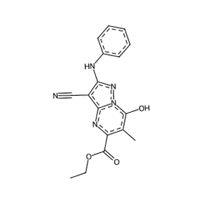 CCOC(=O)c1nc2c(C#N)c(Nc3ccccc3)nn2c(O)c1C